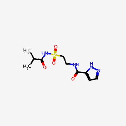 CC(C)C(=O)NS(=O)(=O)CCNC(=O)c1ccn[nH]1